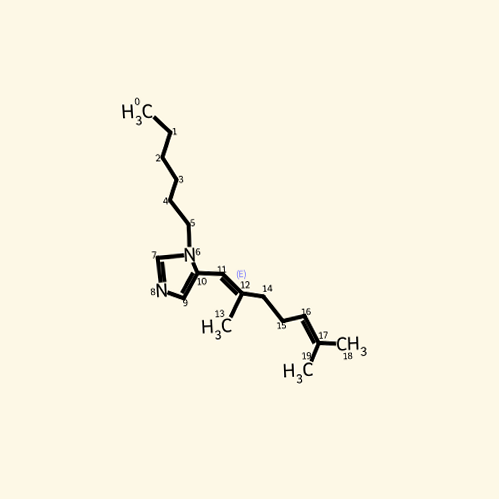 CCCCCCn1cncc1/C=C(\C)CCC=C(C)C